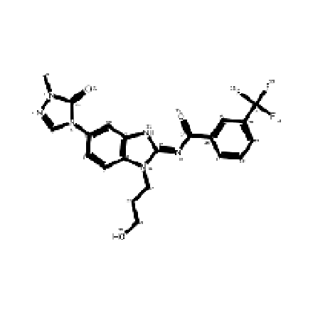 Cn1ncn(-c2ccc3c(c2)[nH]/c(=N\C(=O)c2cccc(C(F)(F)F)c2)n3CCCO)c1=O